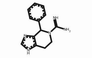 N=C(N)N1CCc2[nH]cnc2C1c1ccccc1